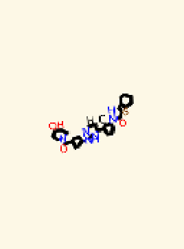 Cc1c(NC(=O)c2cc3c(s2)CCCC3)cccc1-c1ccnc(Nc2ccc(C(=O)N3CCC(O)CC3)cc2)n1